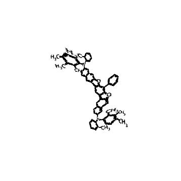 Cc1ccccc1N(c1ccc2cc3c(cc2c1)oc1c(-c2ccccc2)c2oc4cc5cc(N(c6ccccc6C)c6ccc(C)c(C)c6C)ccc5cc4c2cc13)c1ccc(C)c(C)c1C